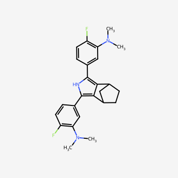 CN(C)c1cc(-c2[nH]c(-c3ccc(F)c(N(C)C)c3)c3c2C2CCC3C2)ccc1F